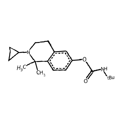 CC(C)(C)NC(=O)Oc1ccc2c(c1)CCN(C1CC1)C2(C)C